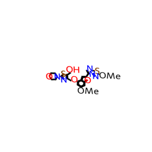 COc1cc(OCc2nc(N3CCOCC3)sc2CO)c2cc(-c3cnc4sc(OC)nn34)oc2c1